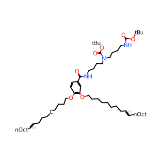 CCCCCCCC/C=C/CCCCCCCCOc1ccc(C(=O)NCCCCN(CCCCNC(=O)OC(C)(C)C)C(=O)OC(C)(C)C)cc1OCCCCCCCC/C=C/CCCCCCCC